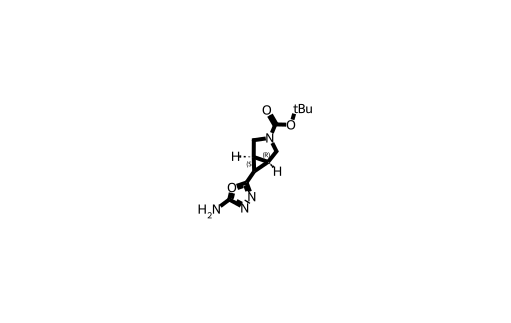 CC(C)(C)OC(=O)N1C[C@@H]2C(c3nnc(N)o3)[C@@H]2C1